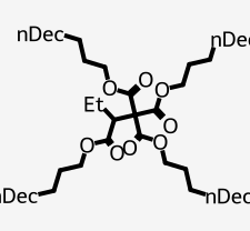 CCCCCCCCCCCCCOC(=O)C(CC)C(C(=O)OCCCCCCCCCCCCC)(C(=O)OCCCCCCCCCCCCC)C(=O)OCCCCCCCCCCCCC